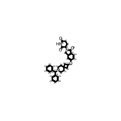 O=C1CCC(N2Cc3cc(OC4CC5(CCN(C(c6ccccc6)c6ccccc6)CC5)C4)ccc3C2=O)C(=O)N1